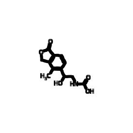 Cc1c(C(O)CNC(=O)O)ccc2c1COC2=O